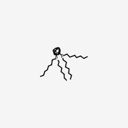 CCCCCCCP(CCCCCCC)[C]12[CH]3[CH]4[CH]5[C]1(P(CCCCCCC)CCCCCCC)[Cr]43521678[CH]2[CH]1[CH]6[CH]7[CH]28